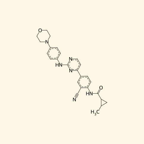 CC1CC1C(=O)Nc1ccc(-c2ccnc(Nc3ccc(N4CCOCC4)cc3)n2)cc1C#N